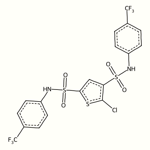 O=S(=O)(Nc1ccc(C(F)(F)F)cc1)c1cc(S(=O)(=O)Nc2ccc(C(F)(F)F)cc2)c(Cl)s1